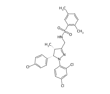 Cc1ccc(C)c(S(=O)(=O)NCC2=NN(c3ccc(Cl)cc3Cl)[C@H](c3ccc(Cl)cc3)[C@@H]2C)c1